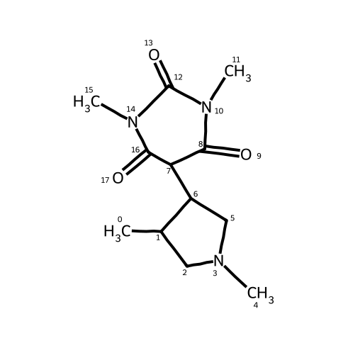 CC1CN(C)CC1C1C(=O)N(C)C(=O)N(C)C1=O